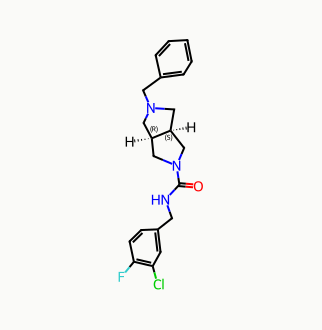 O=C(NCc1ccc(F)c(Cl)c1)N1C[C@H]2CN(Cc3ccccc3)C[C@H]2C1